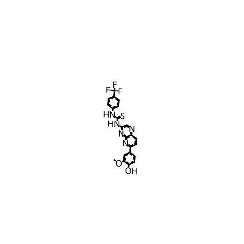 COc1cc(-c2ccc3ncc(NC(=S)Nc4ccc(C(F)(F)F)cc4)nc3n2)ccc1O